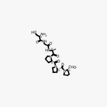 C[C@H](NC(=O)CNC(=O)[C@@H](N)CO)C(=O)N1CCC[C@H]1C(=O)N1CCC[C@H]1C(=O)N1CCC[C@H]1[C]=O